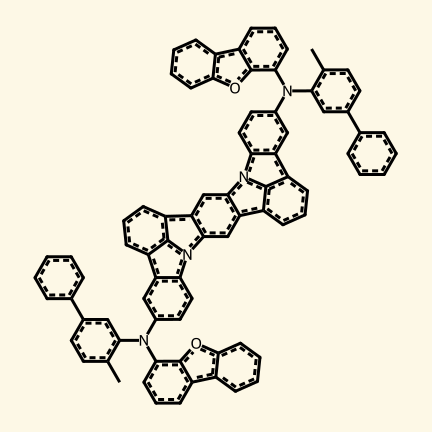 Cc1ccc(-c2ccccc2)cc1N(c1ccc2c(c1)c1cccc3c4cc5c(cc4n2c13)c1cccc2c3cc(N(c4cc(-c6ccccc6)ccc4C)c4cccc6c4oc4ccccc46)ccc3n5c21)c1cccc2c1oc1ccccc12